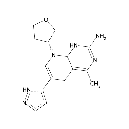 CC1=C2CC(c3ccn[nH]3)=CN([C@@H]3CCOC3)C2NC(N)=N1